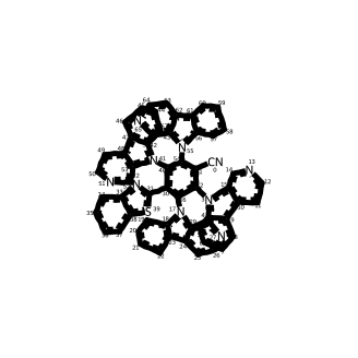 N#Cc1c(-n2c3ccccc3c3ccncc32)c(-n2c3ccccc3c3ccncc32)c(-c2nc3ccccc3s2)c(-n2c3ccccc3c3ccncc32)c1-n1c2ccccc2c2ccncc21